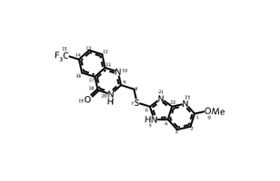 COc1ccc2[nH]c(SCc3nc4ccc(C(F)(F)F)cc4c(=O)[nH]3)nc2n1